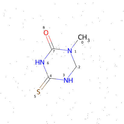 CN1CNC(=S)NC1=O